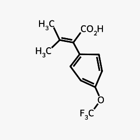 CC(C)=C(C(=O)O)c1ccc(OC(F)(F)F)cc1